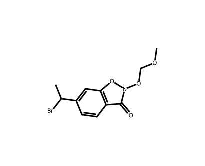 COCOn1oc2cc(C(C)Br)ccc2c1=O